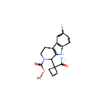 CC(C)(C)OC(=O)N1CCc2c([nH]c3ccc(Cl)cc23)C1C1(C(N)=O)CCC1